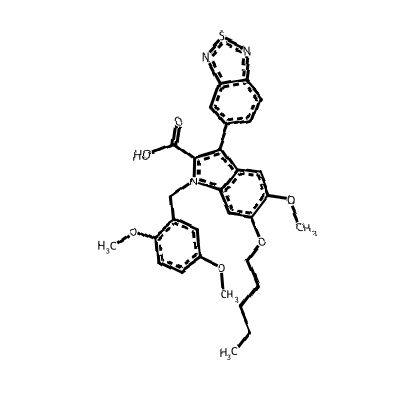 CCCCCOc1cc2c(cc1OC)c(-c1ccc3nsnc3c1)c(C(=O)O)n2Cc1cc(OC)ccc1OC